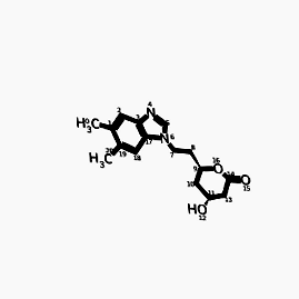 Cc1cc2ncn(CC[C@@H]3C[C@@H](O)CC(=O)O3)c2cc1C